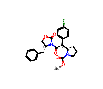 CC(C)(C)OC(=O)N1CCC[C@H]1[C@@H](C(=O)N1C(=O)OC[C@H]1Cc1ccccc1)c1ccc(Cl)cc1